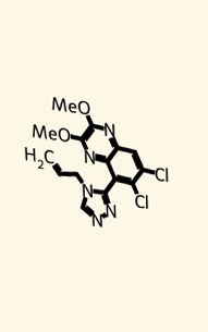 C=CCn1cnnc1-c1c(Cl)c(Cl)cc2nc(OC)c(OC)nc12